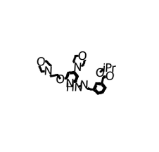 CC(C)OC(=O)c1cccc(C=NNc2cc(N3CCOCC3)cc(OCCN3CCOCC3)n2)c1